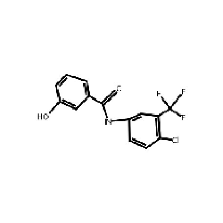 O=C(Nc1ccc(Cl)c(C(F)(F)F)c1)c1cccc(O)c1